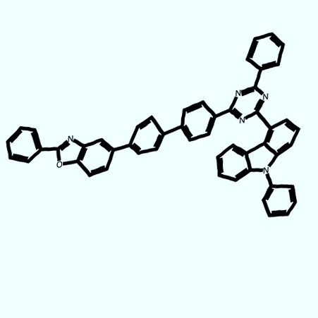 c1ccc(-c2nc(-c3ccc(-c4ccc(-c5ccc6oc(-c7ccccc7)nc6c5)cc4)cc3)nc(-c3cccc4c3c3ccccc3n4-c3ccccc3)n2)cc1